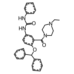 CCN1CCN(C(=O)c2cc(NC(=O)Nc3ccccc3)ccc2OC(c2ccccc2)c2ccccc2)CC1